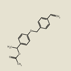 C=Cc1ccc(COc2ccc(C(C)OC(C)=O)cc2)cc1